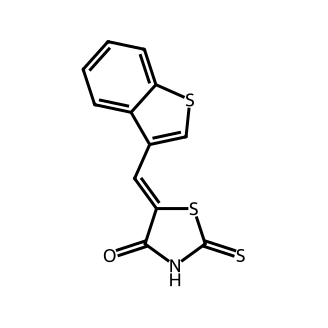 O=C1NC(=S)S/C1=C\c1csc2ccccc12